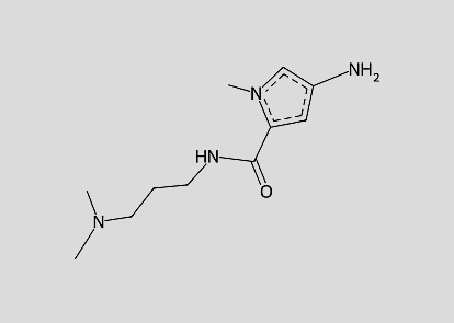 CN(C)CCCNC(=O)c1cc(N)cn1C